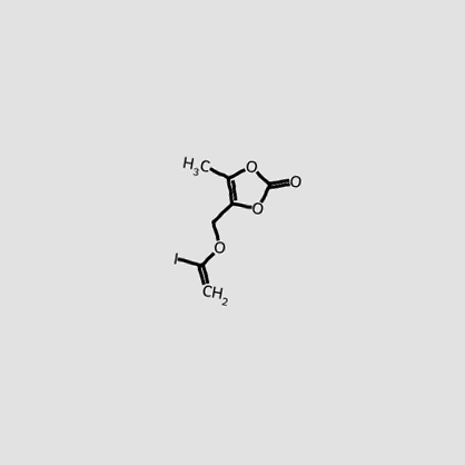 C=C(I)OCc1oc(=O)oc1C